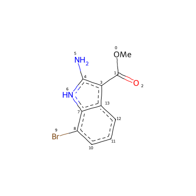 COC(=O)c1c(N)[nH]c2c(Br)cccc12